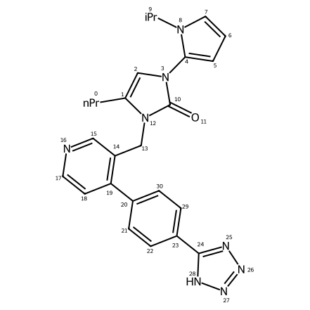 CCCc1cn(-c2cccn2C(C)C)c(=O)n1Cc1cnccc1-c1ccc(-c2nnn[nH]2)cc1